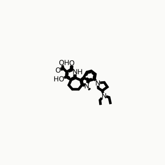 CCN(CC)C1CCN(c2cccc3c4c(n(C)c23)CCCc2c-4[nH]c(=O)c(C(=O)O)c2O)C1